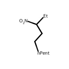 [CH2]CCCCCCC(CC)[N+](=O)[O-]